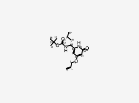 C=CCOc1cc([C@@H](CCC)NC(=O)OC(C)(C)C)[nH]c(=O)c1